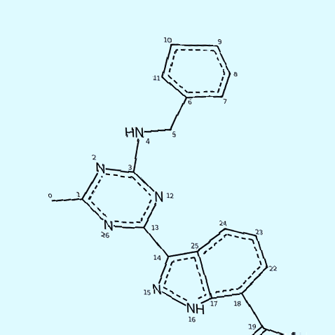 Cc1nc(NCc2ccccc2)nc(-c2n[nH]c3c(C(=O)O)cccc23)n1